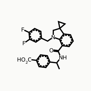 CC(NC(=O)c1cccc2c1N(Cc1ccc(F)c(F)c1)CC21CC1)c1ccc(C(=O)O)cc1